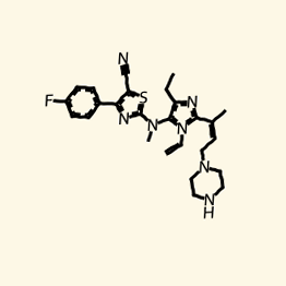 C=Cn1c(/C(C)=C\CN2CCNCC2)nc(CC)c1N(C)c1nc(-c2ccc(F)cc2)c(C#N)s1